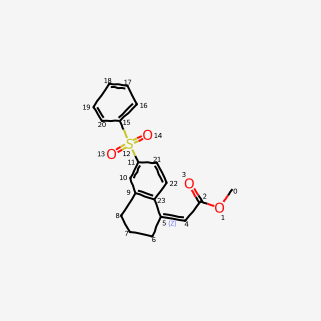 COC(=O)/C=C1/CCCc2cc(S(=O)(=O)c3ccccc3)ccc21